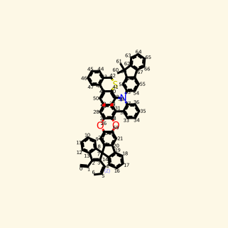 C=CC1=C(/C=C\C)C2(c3ccccc31)c1ccccc1-c1cc3c(cc12)Oc1cccc(-c2ccccc2N(C2=C4SCc5ccccc5C4=CCC2)c2ccc4c(c2)C(C)(C)c2ccccc2-4)c1O3